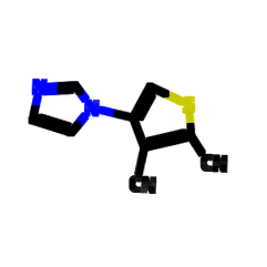 N#Cc1scc(-n2ccnc2)c1C#N